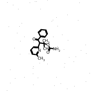 Cc1cccc(C(C(=O)c2ccccc2)C(C)(C)OC(N)=O)n1